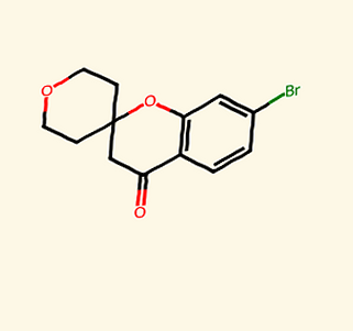 O=C1CC2(CCOCC2)Oc2cc(Br)ccc21